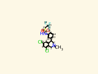 CN1Cc2c(Cl)cc(Cl)cc2C(c2cccc(NS(=O)(=O)CC(F)(F)F)c2)C1